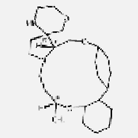 C[C@@H]1CCN2CC[C@@]3(COCCN3)[C@@H]2COC2CCC(CC2)C2CCCCC2O1